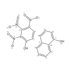 O=[N+]([O-])c1ccc(O)c([N+](=O)[O-])c1[N+](=O)[O-].Oc1cccc2ccccc12